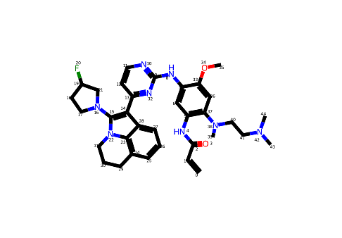 C=CC(=O)Nc1cc(Nc2nccc(-c3c(N4CCC(F)C4)n4c5c(cccc35)CCC4)n2)c(OC)cc1N(C)CCN(C)C